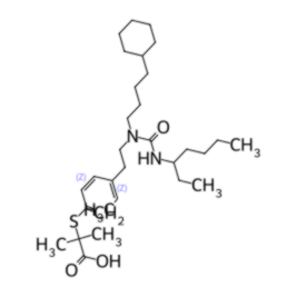 C=C(/C=C\C(=C/C)CCN(CCCCC1CCCCC1)C(=O)NC(CC)CCCC)SC(C)(C)C(=O)O